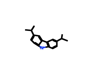 CC(C)c1ccc2c(c1)-c1cc(C(C)C)ccc1[N]2